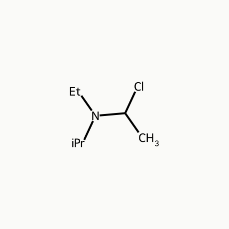 CCN(C(C)C)C(C)Cl